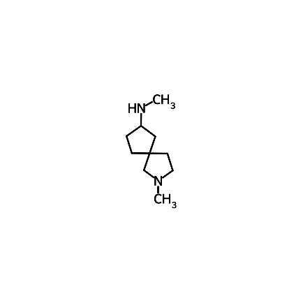 CNC1CCC2(CCN(C)C2)C1